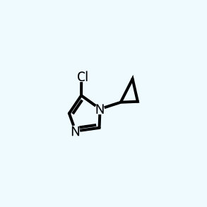 Clc1cncn1C1CC1